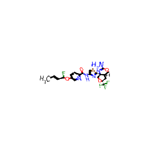 C/C=C/C(F)Oc1ccc(C(=O)Nc2csc([C@]34CO[C@@H](C(F)(F)F)C[C@H]3COC(N)=N4)n2)nc1